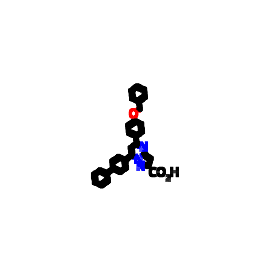 O=C(O)c1cc2nc(-c3ccc(OCc4ccccc4)cc3)cc(-c3ccc(-c4ccccc4)cc3)n2n1